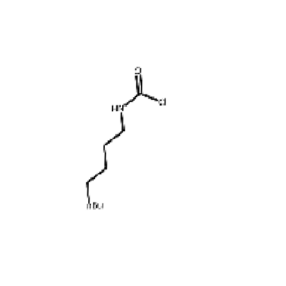 CCCCCCCCNC(=O)Cl